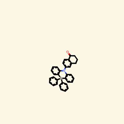 O=C1CCCc2cc(N3c4ccccc4[Si](c4ccccc4)(c4ccccc4)c4ccccc43)ccc21